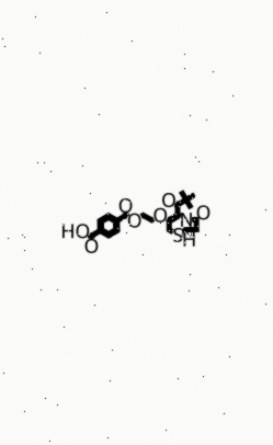 CC(C)(C)C(=O)C1=C(OCCOC(=O)c2ccc(C(=O)O)cc2)CS[C@@H]2CC(=O)N12